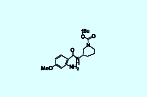 COc1ccc(C(=O)NC2CCCN(C(=O)OC(C)(C)C)C2)c(N)c1